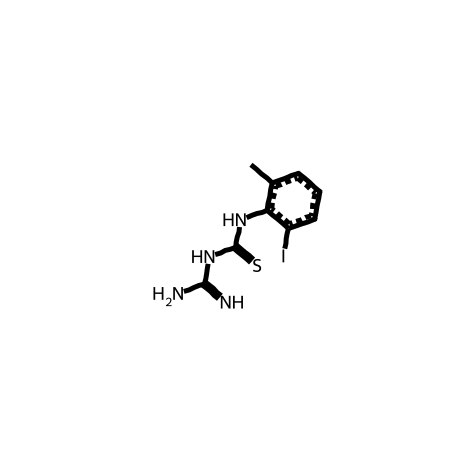 Cc1cccc(I)c1NC(=S)NC(=N)N